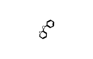 C1=CCSC(Oc2ccccc2)=C1